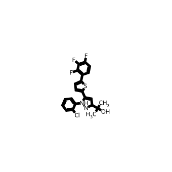 CC(C)(O)C1C=C(c2ccc(-c3ccc(F)c(F)c3F)s2)N(c2ccccc2Cl)N1